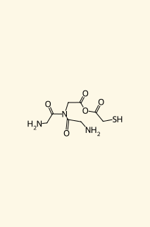 NCC(=O)N(CC(=O)OC(=O)CS)C(=O)CN